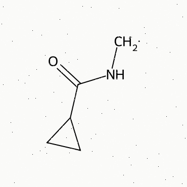 [CH2]NC(=O)C1CC1